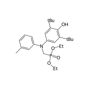 CCOP(=O)(CN(c1cccc(C)c1)c1cc(C(C)(C)C)c(O)c(C(C)(C)C)c1)OCC